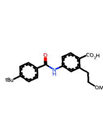 COCCc1cc(NC(=O)c2ccc(C(C)(C)C)cc2)ccc1C(=O)O